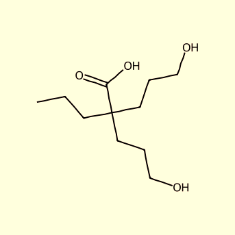 CCCC(CCCO)(CCCO)C(=O)O